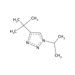 CC(C)n1cc(C(C)(C)C)nn1